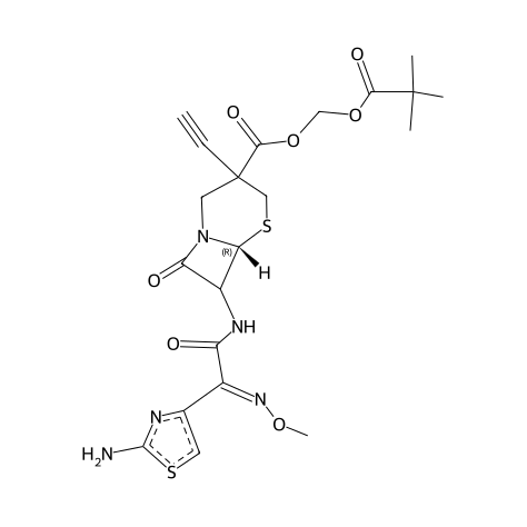 C#CC1(C(=O)OCOC(=O)C(C)(C)C)CS[C@@H]2C(NC(=O)C(=NOC)c3csc(N)n3)C(=O)N2C1